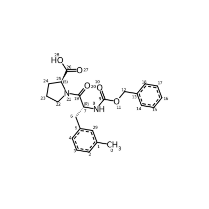 Cc1cccc(C[C@@H](NC(=O)OCc2ccccc2)C(=O)N2CCC[C@H]2C(=O)O)c1